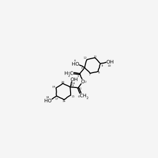 C=C(OC(=C)C1(O)CCC(O)CC1)C1(O)CCC(O)CC1